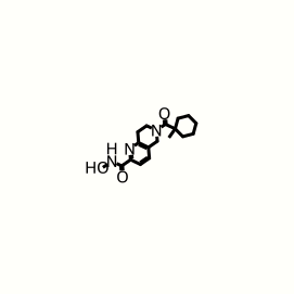 CC1(C(=O)N2CCc3nc(C(=O)NO)ccc3C2)CCCCC1